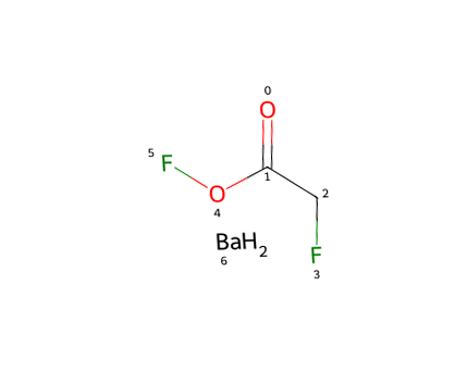 O=C(CF)OF.[BaH2]